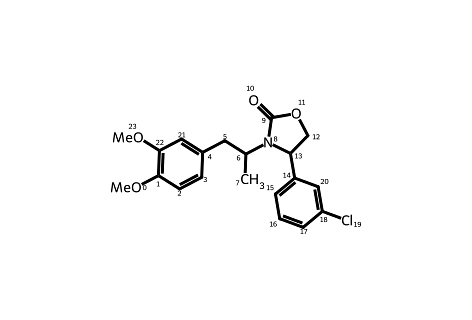 COc1ccc(CC(C)N2C(=O)OCC2c2cccc(Cl)c2)cc1OC